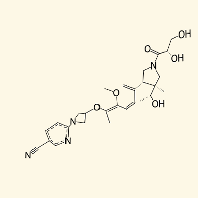 C=C(/C=C\C(OC)=C(/C)OC1CN(c2ccc(C#N)cn2)C1)[C@@H]1CN(C(=O)[C@@H](O)CO)C[C@@]1(C)[C@@H](C)O